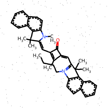 CCCC[N+]1=C(C=C2C(=O)C(C=C3N(C)c4ccc5ccccc5c4C3(C)C)=C2C)C(C)(C)c2c1ccc1ccccc21